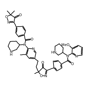 COc1cccnc1N(C(=O)c1ccc(C2=NOC(C)(CCc3cnc(N(C(=O)c4ccc(C5=NOC(C)(C)C5=O)cc4)C4CCCNC4)c(C)c3)C2=O)cc1)C1CCCNC1